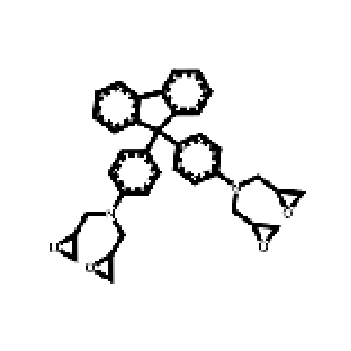 c1ccc2c(c1)-c1ccccc1C2(c1ccc(N(CC2CO2)CC2CO2)cc1)c1ccc(N(CC2CO2)CC2CO2)cc1